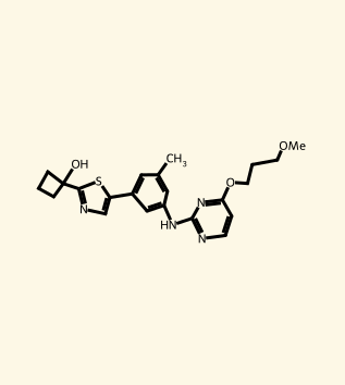 COCCCOc1ccnc(Nc2cc(C)cc(-c3cnc(C4(O)CCC4)s3)c2)n1